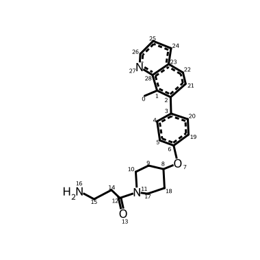 Cc1c(-c2ccc(OC3CCN(C(=O)CCN)CC3)cc2)ccc2cccnc12